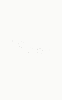 COC1(c2ccc(C)cc2)C=CC(c2ccc(C)cc2)C=C1